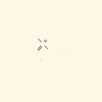 O.O.O=S(=O)([O-])[O-].[K+].[K+]